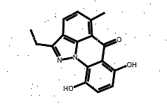 CCc1nn2c3c(O)ccc(O)c3c(=O)c3c(C)ccc1c32